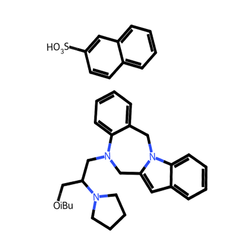 CC(C)COCC(CN1Cc2cc3ccccc3n2Cc2ccccc21)N1CCCC1.O=S(=O)(O)c1ccc2ccccc2c1